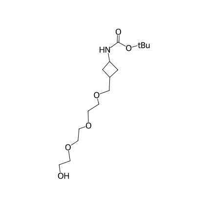 CC(C)(C)OC(=O)NC1CC(COCCOCCOCCO)C1